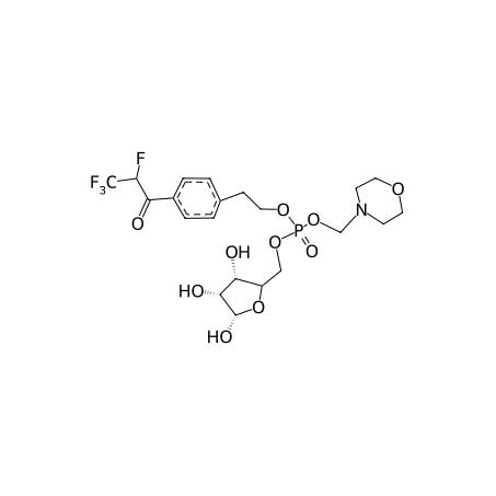 O=C(c1ccc(CCOP(=O)(OCC2O[C@H](O)[C@H](O)[C@@H]2O)OCN2CCOCC2)cc1)C(F)C(F)(F)F